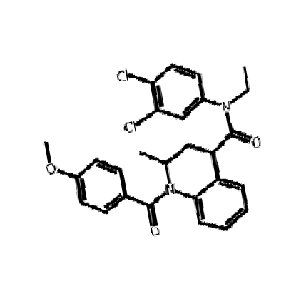 CCN(C(=O)C1CC(C)N(C(=O)c2ccc(OC)cc2)c2ccccc21)c1ccc(Cl)c(Cl)c1